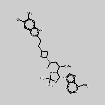 CO[C@H](CN(C(C)C)[C@H]1C[C@H](CCc2nc3cc(Cl)c(C(F)(F)F)cc3[nH]2)C1)[C@H]1OC(C)(C)O[C@H]1n1cnc2c(N)ncnc21